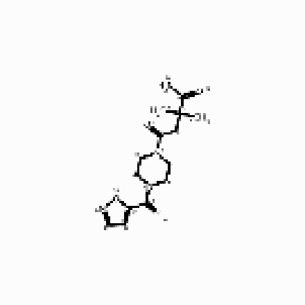 CC(C)(CC(=O)N1CCN(C(=O)c2ccno2)CC1)C(N)=O